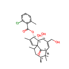 CC1=CC23C(=O)[C@@H](C=C(CO)[C@@H](O)[C@]2(O)[C@H]1OC(=O)c1c(C)cccc1Cl)C(C)(C)[C@@H](C)CC3C